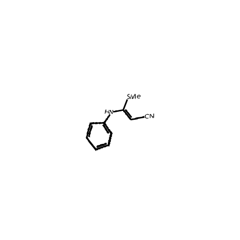 CSC(=CC#N)Nc1ccccc1